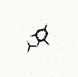 Fc1cc(I)cc(F)c1OC(F)F